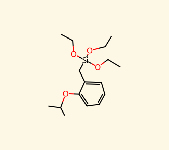 CCO[Si](Cc1ccccc1OC(C)C)(OCC)OCC